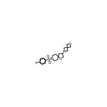 O=S(=O)(c1ccc(F)cc1)N1CCC2(CC1)CC(N1CC3(COC3)C1)CO2